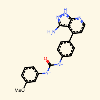 COc1cccc(NC(=O)Nc2ccc(-c3ccnc4[nH]nc(N)c34)cc2)c1